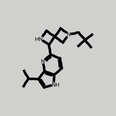 CC(C)c1c[nH]c2ccc(C3NCC34CN(CC(C)(C)C)C4)nc12